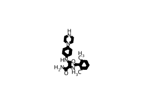 Cc1cccc(C)c1-c1nc(C(N)=O)c(Nc2ccc(N3CCNCC3)cc2)o1